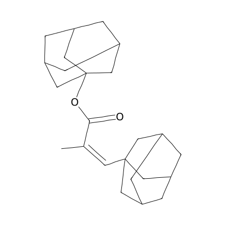 CC(=CC12CC3CC(CC(C3)C1)C2)C(=O)OC12CC3CC(CC(C3)C1)C2